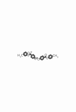 Cc1ccc(OC(=O)c2ccc(OCOc3ccc(C(F)(F)Oc4ccc(C)cc4)cc3)cc2)cc1